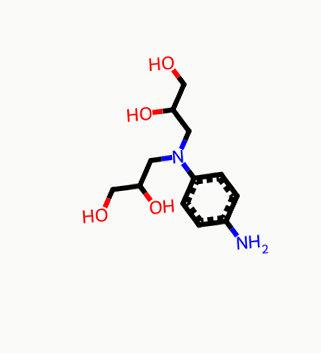 Nc1ccc(N(CC(O)CO)CC(O)CO)cc1